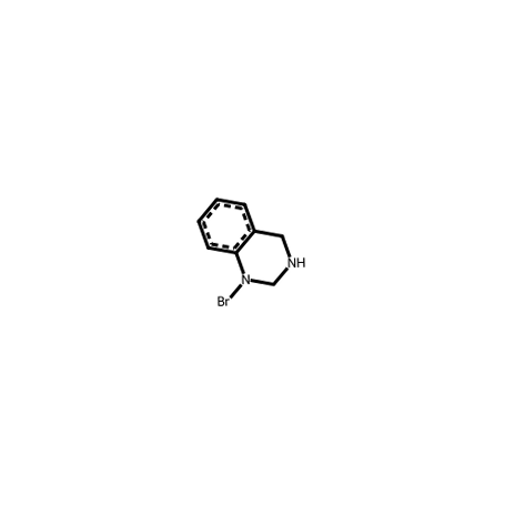 BrN1CNCc2ccccc21